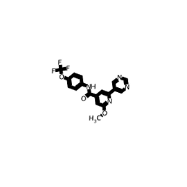 COc1cc(C(=O)Nc2ccc(OC(F)(F)F)cc2)cc(-c2cncnc2)n1